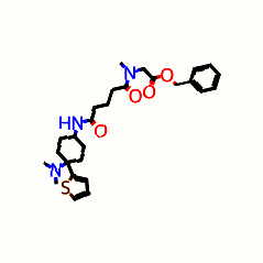 CN(CC(=O)OCc1ccccc1)C(=O)CCCC(=O)NC1CCC(c2cccs2)(N(C)C)CC1